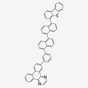 c1cc(-c2ccc3c4ccccc4c4nccnc4c3c2)cc(-c2cccc3c(-c4cccc5c(-c6cccc7c6sc6ccccc67)cccc45)cccc23)c1